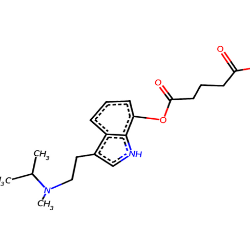 CC(C)N(C)CCc1c[nH]c2c(OC(=O)CCCC(=O)O)cccc12